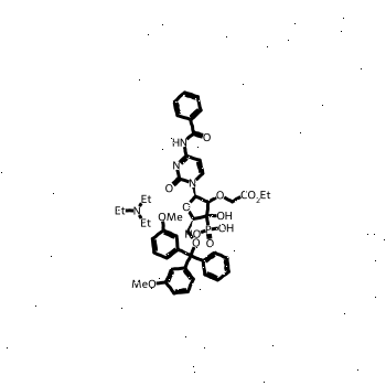 CCN(CC)CC.CCOC(=O)COC1[C@H](n2ccc(NC(=O)c3ccccc3)nc2=O)O[C@H](COC(c2ccccc2)(c2cccc(OC)c2)c2cccc(OC)c2)C1(O)P(=O)(O)O